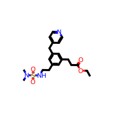 CCOC(=O)CCc1cc(CCNS(=O)(=O)N(C)C)cc(Cc2ccncc2)c1